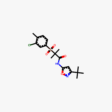 Cc1ccc(S(=O)(=O)C(C)(C)C(=O)Nc2cc(C(C)(C)C)no2)cc1Cl